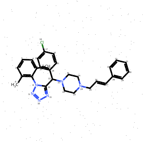 Cc1cccc(C)c1-n1nnnc1C(c1ccc(Cl)cc1)N1CCN(CC=Cc2ccccc2)CC1